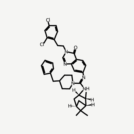 C[C@H]1[C@@H](NC(=Nc2ccc3c(=O)n(CCc4ccc(Cl)cc4Cl)cnc3c2)N2CCC(Cc3ccccc3)CC2)C[C@H]2C[C@H]1C2(C)C